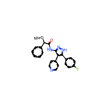 COC(C(=O)Nc1n[nH]c(-c2ccc(F)cc2)c1-c1ccncc1)c1ccccc1